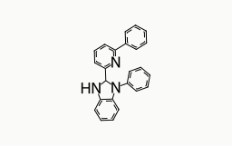 c1ccc(-c2cccc(C3Nc4ccccc4N3c3ccccc3)n2)cc1